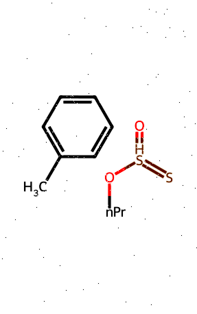 CCCO[SH](=O)=S.Cc1ccccc1